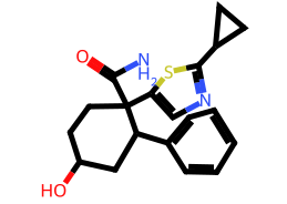 NC(=O)C1(c2cnc(C3CC3)s2)CCC(O)CC1c1ccccc1